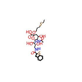 CCSCCCO[C@]1(C(=O)O)CC(O)[C@@H](NC(C)=O)[C@H](C(O)[C@H](O)CNC(=O)c2cc3ccccc3s2)O1